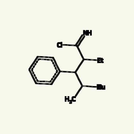 CCC(C)C(C)C(c1ccccc1)C(CC)C(=N)Cl